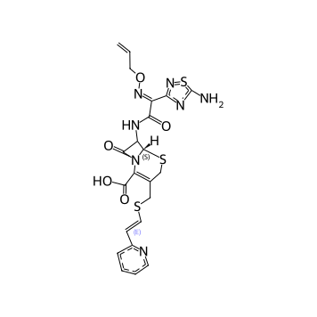 C=CCON=C(C(=O)NC1C(=O)N2C(C(=O)O)=C(CS/C=C/c3ccccn3)CS[C@@H]12)c1nsc(N)n1